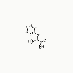 [NH]C(=O)C(N)=Nc1ccccc1